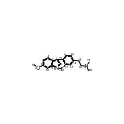 COc1ccc2c3cn(c2c1)Sc1cc(CCN(C)C)ccc1-3